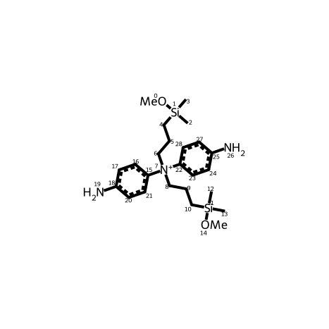 CO[Si](C)(C)CCC[N+](CCC[Si](C)(C)OC)(c1ccc(N)cc1)c1ccc(N)cc1